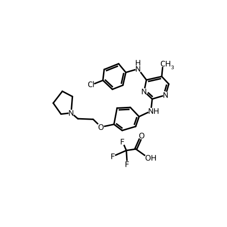 Cc1cnc(Nc2ccc(OCCN3CCCC3)cc2)nc1Nc1ccc(Cl)cc1.O=C(O)C(F)(F)F